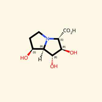 O=C(O)[C@@H]1[C@@H](O)[C@H](O)[C@H]2[C@@H](O)CCN21